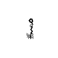 [2H]C([2H])([2H])OCCCCOCc1ccccc1